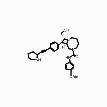 COc1ccc(NC(=O)N2CCCCN3[C@@H](CO)[C@H](c4ccc(C#CC5CCCCN5)cc4)[C@@H]3C2)cc1